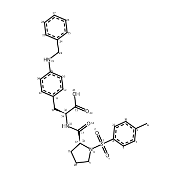 Cc1ccc(S(=O)(=O)N2CCC[C@H]2C(=O)N[C@@H](Cc2ccc(NCc3ccccc3)cc2)C(=O)O)cc1